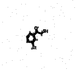 CCc1cccc(C(=O)CS)c1